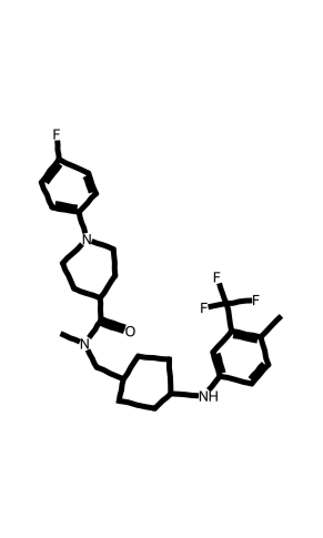 Cc1ccc(NC2CCC(CN(C)C(=O)C3CCN(c4ccc(F)cc4)CC3)CC2)cc1C(F)(F)F